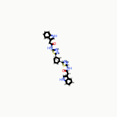 O=C(Cc1c[nH]c2ccccc12)Nc1nnc([C@@H]2CCC[C@H](c3nnc(NC(=O)Cc4c[nH]c5ccccc45)s3)C2)s1